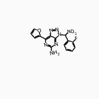 Nc1nc(-c2ccco2)c2nnn(C(c3ccccc3F)[N+](=O)[O-])c2n1